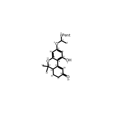 CCCCCC(C)Oc1cc(O)c2c(c1)OC(C)(C)C1CCC(=O)C=C21